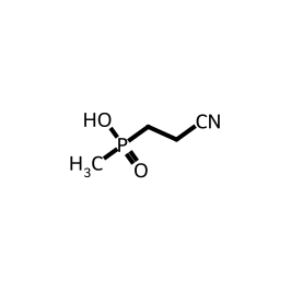 CP(=O)(O)CCC#N